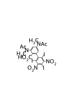 CC(=O)N(C)c1cc(-c2c(I)c([N+](=O)[O-])c(I)c([N+](=O)[O-])c2I)c(C(=O)O)c(N(C)C(C)=O)c1